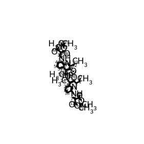 CCc1nc2c(NC=C3C(=O)OC(C)(C)OC3=O)cccc2c(CC)c1O[PH](=O)Oc1c(CC)nc2c(NC=C3C(=O)OC(C)(C)OC3=O)cccc2c1CC